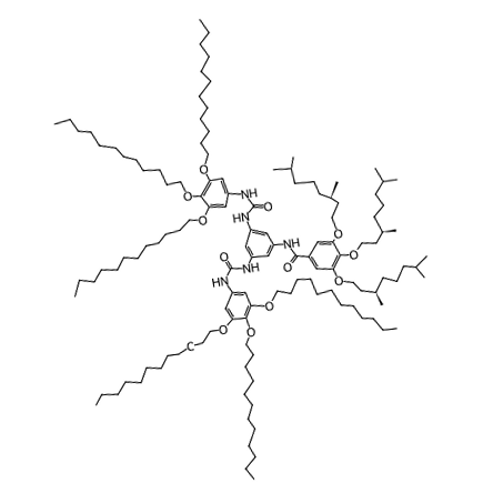 CCCCCCCCCCCCOc1cc(NC(=O)Nc2cc(NC(=O)Nc3cc(OCCCCCCCCCCCC)c(OCCCCCCCCCCCC)c(OCCCCCCCCCCCC)c3)cc(NC(=O)c3cc(OCC[C@H](C)CCCC(C)C)c(OCC[C@H](C)CCCC(C)C)c(OCC[C@H](C)CCCC(C)C)c3)c2)cc(OCCCCCCCCCCCC)c1OCCCCCCCCCCCC